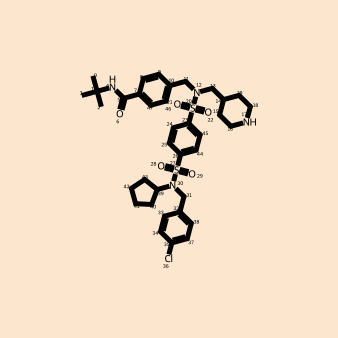 CC(C)(C)NC(=O)c1ccc(CN(CC2CCNCC2)S(=O)(=O)c2ccc(S(=O)(=O)N(Cc3ccc(Cl)cc3)C3CCCC3)cc2)cc1